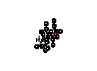 CC1(C)c2cc(N(c3ccc(-c4ccccc4)cc3)c3cccc4ccccc34)ccc2-c2cc3c(N(c4ccc(-c5ccccc5)cc4)c4cccc5ccccc45)c4cc(N(c5ccc(-c6ccccc6)cc5)c5ccc6ccccc6c5)ccc4c(N(c4ccc(-c5ccccc5)cc4)c4cccc5ccccc45)c3cc21